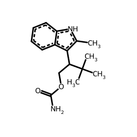 Cc1[nH]c2ccccc2c1C(COC(N)=O)C(C)(C)C